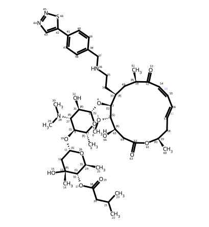 CO[C@@H]1[C@@H](O[C@@H]2O[C@H](C)[C@@H](O[C@H]3C[C@@](C)(O)[C@@H](OC(=O)CC(C)C)[C@H](C)O3)[C@H](N(C)C)[C@H]2O)[C@@H](CCNCc2ccc(-c3cnns3)cc2)C[C@@H](C)C(=O)/C=C\C=C\C[C@@H](C)OC(=O)C[C@H]1O